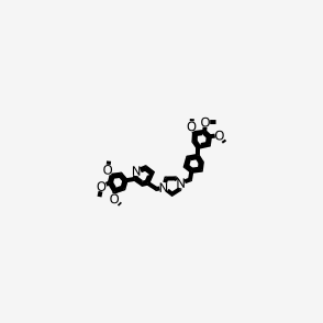 COc1cc(-c2ccc(CN3CCN(Cc4ccnc(-c5cc(OC)c(OC)c(OC)c5)c4)CC3)cc2)cc(OC)c1OC